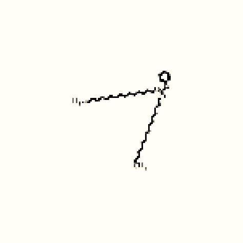 CCCCCCCCCCCCCCCCOP(OCCCCCCCCCCCCCCCC)Oc1ccccc1